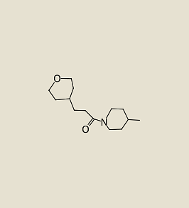 CC1CCN(C(=O)CCC2CCOCC2)CC1